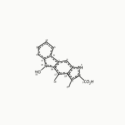 Cc1c(C(=O)O)[nH]c2cc3c4ccccc4n(O)c3c(C)c12